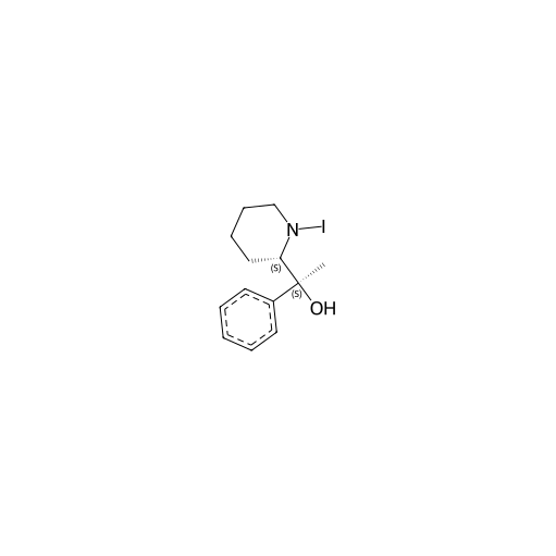 C[C@](O)(c1ccccc1)[C@@H]1CCCCN1I